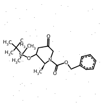 C[C@H]1C(O[Si](C)(C)C(C)(C)C)CC(=O)CN1C(=O)OCc1ccccc1